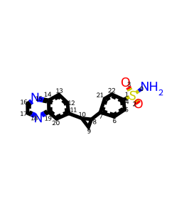 NS(=O)(=O)c1ccc(C2CC2c2ccc3nccnc3c2)cc1